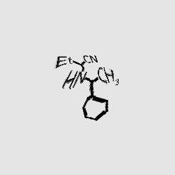 CCC(C#N)NC(C)c1ccccc1